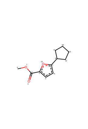 COC(=O)c1ccc(C2CCCC2)o1